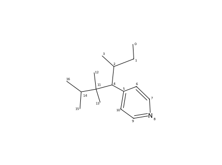 CCC(C)C(c1ccncc1)C(C)(C)C(C)C